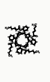 CCCC=CC(=O)Oc1ccccc1-c1c2nc(c(-c3ccccc3OC(=O)C=CCCC)c3ccc([nH]3)c(-c3ccccc3OC(=O)C=CCCC)c3nc(c(-c4ccccc4OC(=O)C=CCCC)c4ccc1[nH]4)C=C3)C=C2